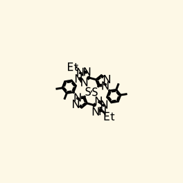 CCn1nnc(-c2cnn(-c3cccc(C)c3C)c2SSc2c(-c3nnn(CC)n3)cnn2-c2cccc(C)c2C)n1